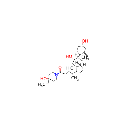 CCC1(O)CCN(C(=O)CC[C@@H](C)[C@H]2CC[C@H]3[C@@H]4CC=C5C[C@@H](O)CC[C@]5(C)[C@H]4[C@@H](O)C[C@]23C)CC1